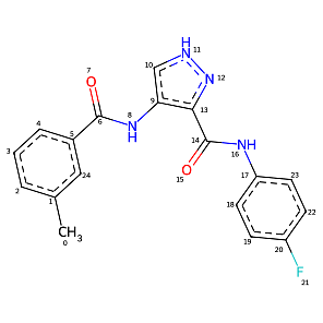 Cc1cccc(C(=O)Nc2c[nH]nc2C(=O)Nc2ccc(F)cc2)c1